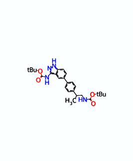 CC(CNC(=O)OC(C)(C)C)c1ccc(-c2ccc3[nH]nc(NC(=O)OC(C)(C)C)c3c2)cc1